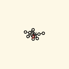 c1ccc(-c2ccc(-c3nc(-c4ccccc4)nc(-n4c5ccccc5c5cc(-c6ccccc6)c6c7ccccc7n(-c7ccc(-c8ccccc8)cc7)c6c54)n3)cc2)cc1